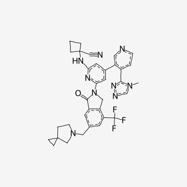 Cn1cnnc1-c1ccncc1-c1cc(NC2(C#N)CCC2)nc(N2Cc3c(cc(CN4CCC5(CC5)C4)cc3C(F)(F)F)C2=O)c1